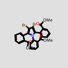 COC(=O)c1ccccc1-c1c(Br)c(Br)c(-c2ccccc2C(=O)OC)n1-c1ccccc1C(=O)OC